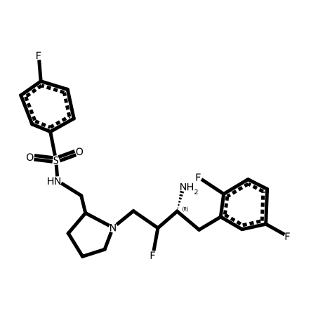 N[C@H](Cc1cc(F)ccc1F)C(F)CN1CCCC1CNS(=O)(=O)c1ccc(F)cc1